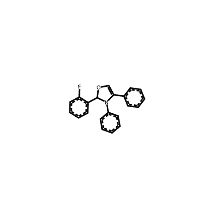 Fc1ccccc1C1OC=C(c2ccccc2)N1c1ccccc1